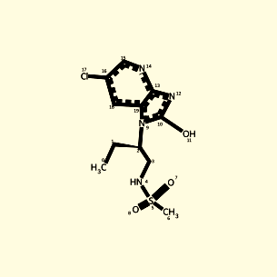 CC[C@H](CNS(C)(=O)=O)n1c(O)nc2ncc(Cl)cc21